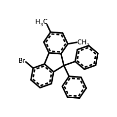 Cc1cc(C)c2c(c1)-c1c(Br)cccc1C2(c1ccccc1)c1ccccc1